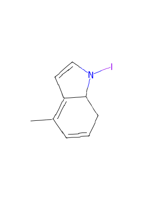 CC1=C2C=CN(I)C2CC=C1